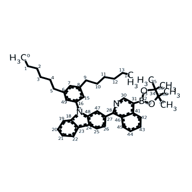 CCCCCCc1cc(CCCCCC)cc(-n2c3ccccc3c3ccc(-c4ncc(B5OC(C)(C)C(C)(C)O5)c5ccccc45)cc32)c1